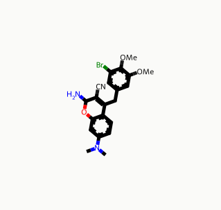 COc1cc(CC2=C(C#N)C(N)Oc3cc(N(C)C)ccc32)cc(Br)c1OC